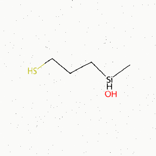 C[SiH](O)CCCS